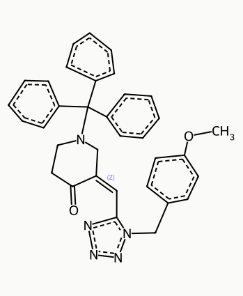 COc1ccc(Cn2nnnc2/C=C2/CN(C(c3ccccc3)(c3ccccc3)c3ccccc3)CCC2=O)cc1